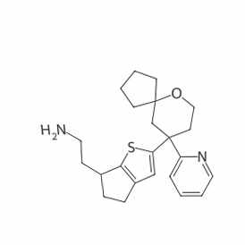 NCCC1CCc2cc(C3(c4ccccn4)CCOC4(CCCC4)C3)sc21